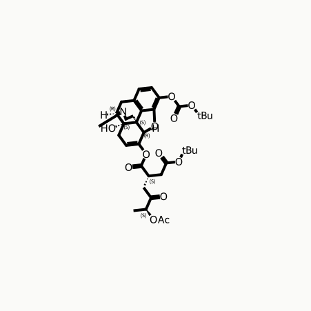 CC(=O)O[C@@H](C)C(=O)C[C@@H](CC(=O)OC(C)(C)C)C(=O)OC1=CC[C@@]2(O)[C@H]3Cc4ccc(OC(=O)OC(C)(C)C)c5c4[C@@]2(CCN3C)[C@H]1O5